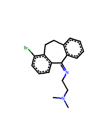 CN(C)CC/N=C1/c2ccccc2CCc2c(Br)cccc21